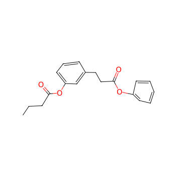 CCCC(=O)Oc1cccc(CCC(=O)Oc2ccccc2)c1